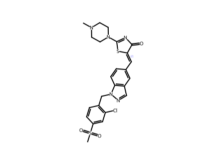 CN1CCN(C2=NC(=O)/C(=C/c3ccc4c(cnn4Cc4ccc(S(C)(=O)=O)cc4Cl)c3)S2)CC1